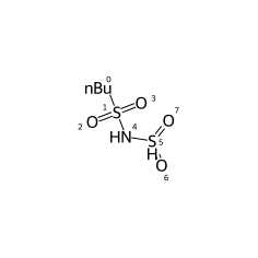 CCCCS(=O)(=O)N[SH](=O)=O